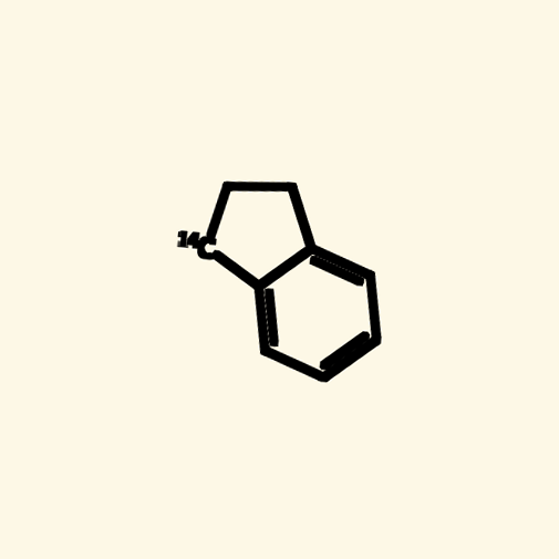 c1ccc2c(c1)CC[14CH2]2